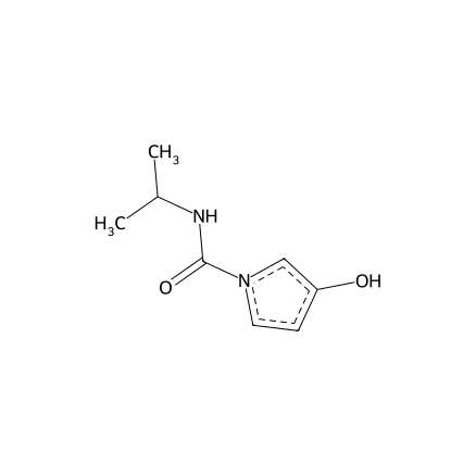 CC(C)NC(=O)n1ccc(O)c1